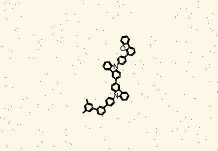 Cc1cc(C)cc(-c2cccc(-c3ccc(-n4c5ccccc5c5cc(-c6ccc7c(c6)c6ccccc6n7-c6ccc(-c7cccc8c7oc7ccccc78)cc6)ccc54)cc3)c2)c1